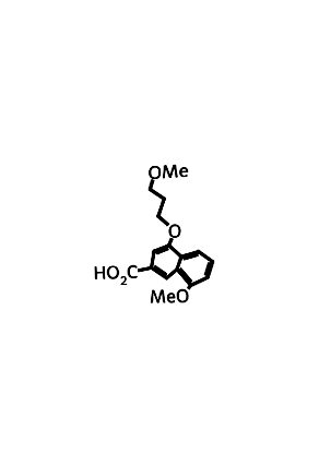 COCCCOc1cc(C(=O)O)cc2c(OC)cccc12